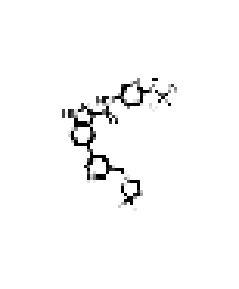 CS(=O)(=O)Nc1ccc(NC(=O)c2n[nH]c3ccc(-c4cncc(CN5CCC(F)(F)C5)c4)cc23)cn1